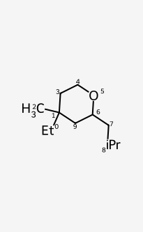 CCC1(C)CCOC(CC(C)C)C1